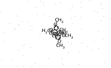 CCOc1ccc(S(=O)(=O)c2ccc(OCC)cc2P(=O)(OC)OC)c(P(=O)(OC)OC)c1